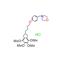 COc1c2c(c(OC)c(OC)c1OC)CC(CCCCOc1ccc(CN3CCOCC3)cc1)C2.Cl